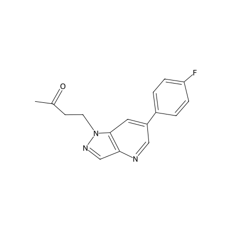 CC(=O)CCn1ncc2ncc(-c3ccc(F)cc3)cc21